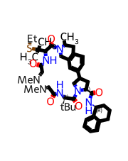 CCSC(C)(C)C(NC(=O)CNC)C(=O)N1Cc2cc(C3C[C@@H](C(=O)N[C@@H]4CCCc5ccccc54)N(C(=O)[C@@H](NC(=O)CNC)C(C)(C)C)C3)ccc2CC1C